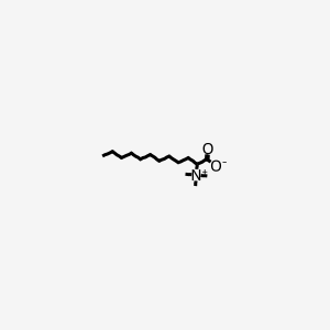 CCCCCCCCCCC(C(=O)[O-])[N+](C)(C)C